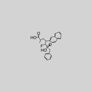 CC(CC(c1ccc2ccccc2c1)C(F)P(=O)(O)Cc1ccccc1)C(=O)O